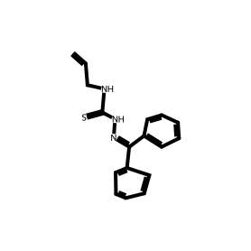 C=CCNC(=S)NN=C(c1ccccc1)c1ccccc1